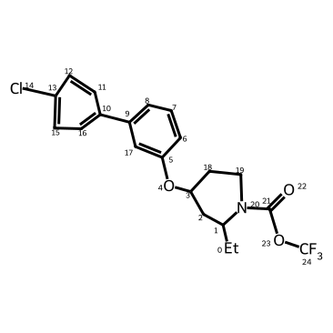 CCC1CC(Oc2cccc(-c3ccc(Cl)cc3)c2)CCN1C(=O)OC(F)(F)F